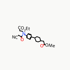 CCOC(=O)CCN(C(=O)CC#N)c1ccc(C2CCC(CC(=O)OC)CC2)cc1